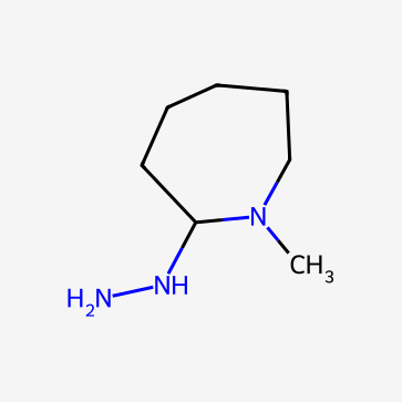 CN1CCCCCC1NN